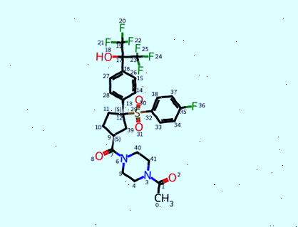 CC(=O)N1CCN(C(=O)[C@H]2CC[C@](c3ccc(C(O)(C(F)(F)F)C(F)(F)F)cc3)(S(=O)(=O)c3ccc(F)cc3)C2)CC1